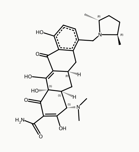 C[C@@H]1CC[C@@H](C)N1Cc1ccc(O)c2c1C[C@H]1C[C@H]3[C@H](N(C)C)C(O)=C(C(N)=O)C(=O)[C@@]3(O)C(O)=C1C2=O